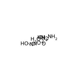 CC1(C)c2cc(N3CCN(CCO)CC3)ccc2C(=O)c2c1[nH]c1cc(N)ccc21